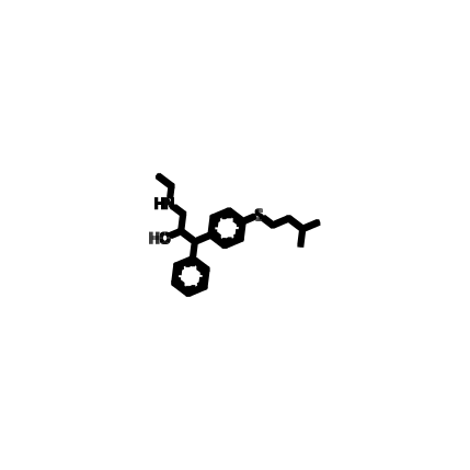 CCNCC(O)C(c1ccccc1)c1ccc(SCCC(C)C)cc1